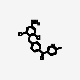 Cc1ccc(C(=O)c2ccc(Cc3c(Cl)cc(N)cc3Cl)cc2)cn1